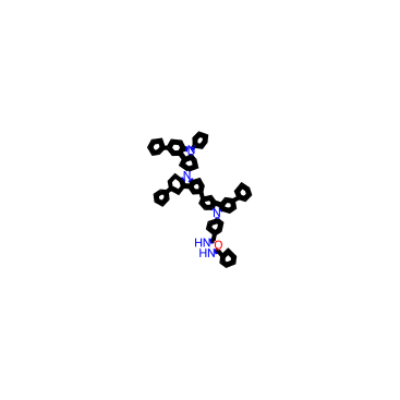 N=C(OC(=N)c1ccc(-n2c3ccc(-c4ccccc4)cc3c3cc(-c4ccc5c(c4)c4c(n5-c5ccc6c(c5)c5cc(-c7ccccc7)ccc5n6-c5ccccc5)CCC(c5ccccc5)=C4)ccc32)cc1)c1ccccc1